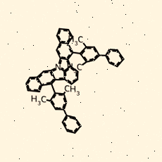 Cc1cc(-c2ccccc2)cc(C)c1-c1c2ccccc2cc2c1c1cccc3c4c(-c5c(C)cc(-c6ccccc6)cc5C)c5ccccc5cc4n2c13